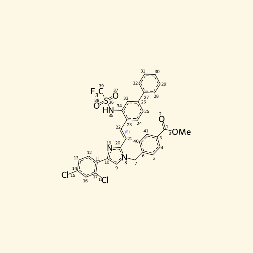 COC(=O)c1ccc(Cn2cc(-c3ccc(Cl)cc3Cl)nc2/C=C/c2ccc(-c3ccccc3)cc2NS(=O)(=O)C(F)(F)F)cc1